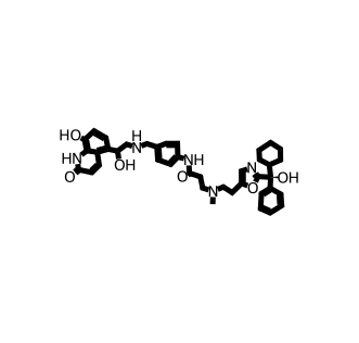 CN(CCC(=O)Nc1ccc(CNCC(O)c2ccc(O)c3[nH]c(=O)ccc23)cc1)CCc1cnc([C@](O)(c2ccccc2)C2CCCCC2)o1